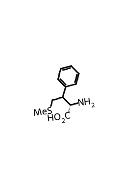 CSCC(c1ccccc1)[C@H](N)C(=O)O